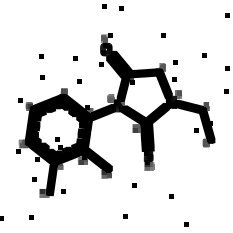 CCN1CC(=O)N(c2cccc(C)c2C)C1=S